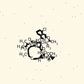 CCC(C)N(C(=O)O)[C@@H]1C(=O)N2[C@@H](C[C@@](C)(Oc3nc(OC(C)C)cc4c(Cl)cccc34)C2(F)F)C(=O)N[C@]2(C(=O)NS(=O)(=O)C3(C)CC3)C[C@H]2/C=C\CC[C@H](C)C[C@H]1C